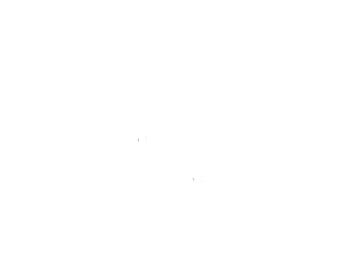 C=CC(C)C(C)C([O])=O